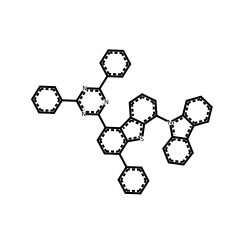 c1ccc(-c2nc(-c3ccccc3)nc(-c3ccc(-c4ccccc4)c4sc5c(-n6c7ccccc7c7ccccc76)cccc5c34)n2)cc1